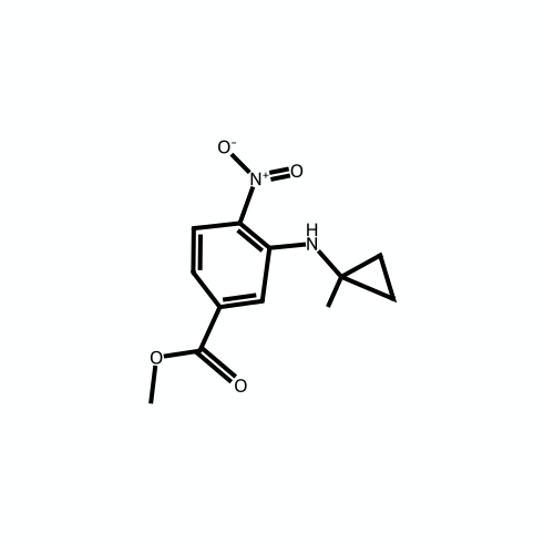 COC(=O)c1ccc([N+](=O)[O-])c(NC2(C)CC2)c1